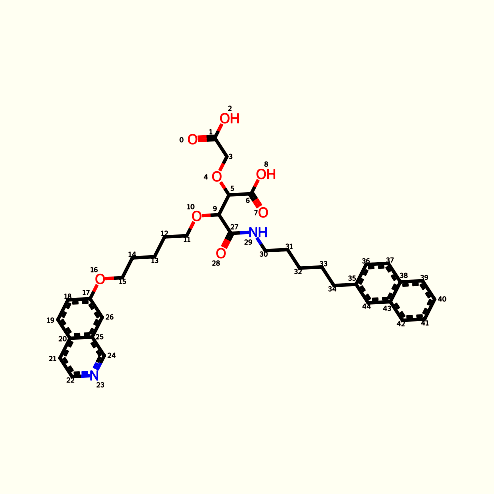 O=C(O)COC(C(=O)O)C(OCCCCCOc1ccc2ccncc2c1)C(=O)NCCCCCc1ccc2ccccc2c1